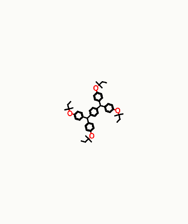 CCC(C)(C)Oc1ccc(C(c2ccc(OC(C)(C)CC)cc2)c2ccc(C(c3ccc(OC(C)(C)CC)cc3)c3ccc(OC(C)(C)CC)cc3)cc2)cc1